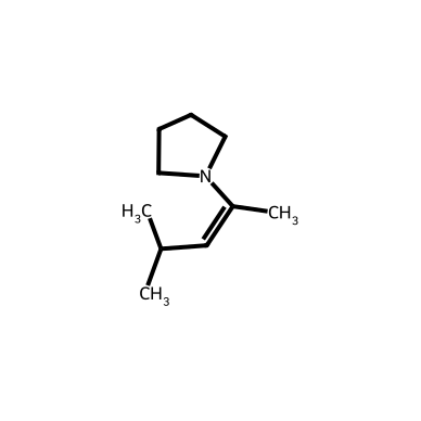 C/C(=C/C(C)C)N1CCCC1